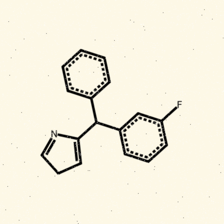 Fc1cccc(C(C2=CCC=N2)c2ccccc2)c1